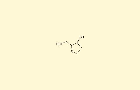 NCC1OCCC1O